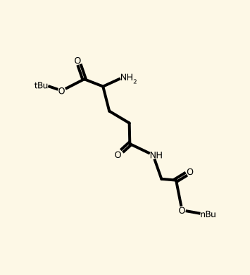 CCCCOC(=O)CNC(=O)CCC(N)C(=O)OC(C)(C)C